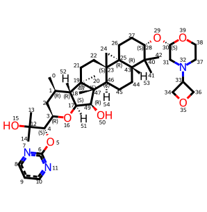 C[C@@H]1C[C@H]([C@H](Oc2ncccn2)C(C)(C)O)O[C@H]2[C@H]1[C@@]1(C)CC[C@@]34C[C@@]35CC[C@H](O[C@H]3CN(C6COC6)CCO3)C(C)(C)[C@@H]5CC[C@H]4[C@]1(C)[C@H]2O